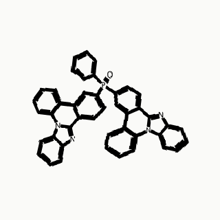 O=P(c1ccccc1)(c1ccc2c(c1)c1ccccc1n1c3ccccc3nc21)c1ccc2c(c1)c1ccccc1n1c3ccccc3nc21